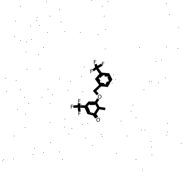 CC1C(=O)C=C(C(F)(F)F)C=C1OCc1cccc(C(F)(F)F)c1